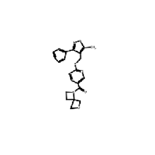 Cc1onc(-c2ccccc2)c1COc1ccc(C(=O)N2CCC23COC3)cn1